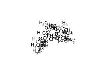 CCC/C(=N/OCC)C1=C(O)CC(CC(C)SCC)CC1=O.CCCCCC(C)OC(=O)COc1ccc(Cl)c2cccnc12.COC(=O)c1ccc(I)cc1S(=O)(=O)[N-]C(=O)Nc1nc(C)nc(OC)n1.Cc1nn(C)c(O)c1C(=O)c1ccc(C(F)(F)F)cc1S(C)(=O)=O.[Na+]